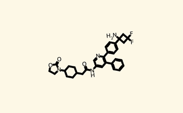 NC1(c2ccc(-c3ncc(NC(=O)CC4CCC(N5CCOC5=O)CC4)cc3-c3ccccc3)cc2)CC(F)(F)C1